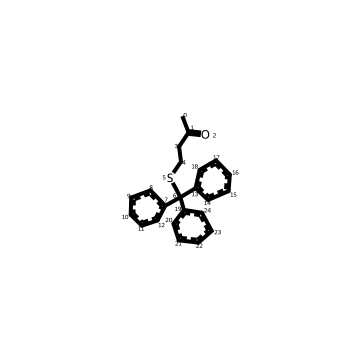 CC(=O)CCSC(c1ccccc1)(c1ccccc1)c1ccccc1